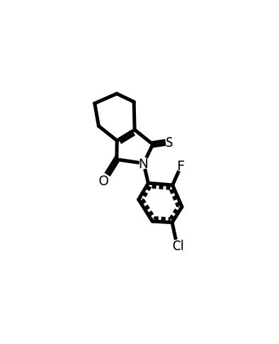 O=C1C2=C(CCCC2)C(=S)N1c1ccc(Cl)cc1F